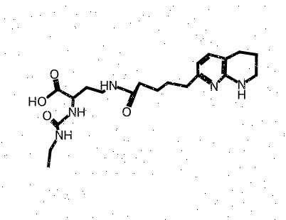 CCNC(=O)NC(CCNC(=O)CCCCc1ccc2c(n1)NCCC2)C(=O)O